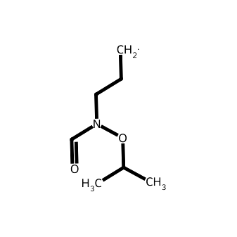 [CH2]CCN(C=O)OC(C)C